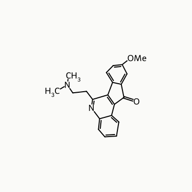 COc1ccc2c(c1)C(=O)c1c-2c(CCN(C)C)nc2ccccc12